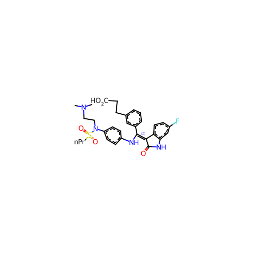 CCCS(=O)(=O)N(CCN(C)C)c1ccc(N/C(=C2\C(=O)Nc3cc(F)ccc32)c2cccc(CCC(=O)O)c2)cc1